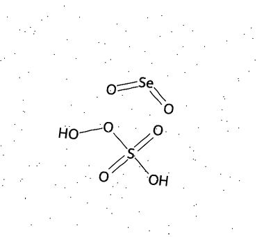 O=S(=O)(O)OO.O=[Se]=O